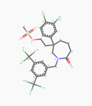 CS(=O)(=O)OCCC1(c2ccc(Cl)c(Cl)c2)CCCC(=O)N(Cc2cc(C(F)(F)F)cc(C(F)(F)F)c2)C1